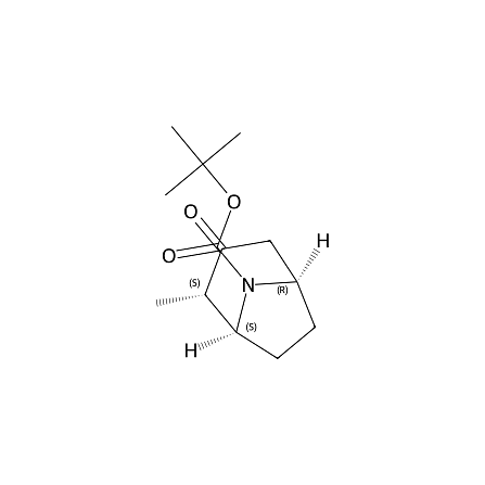 C[C@@H]1C(=O)C[C@H]2CC[C@@H]1N2C(=O)OC(C)(C)C